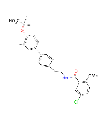 COc1ccc(Cl)cc1C(=O)NCCc1ccc(-c2ccc(OC(C)(C)C(=O)O)c(C)c2)cc1